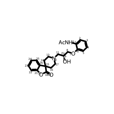 CC(=O)Nc1ccccc1OC[C@@H](O)CN1CCC2(CC1)C(=O)Oc1ccccc12